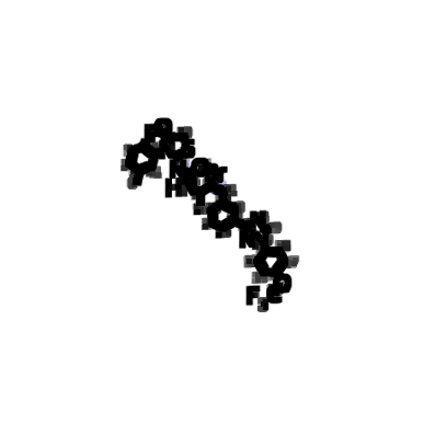 Cc1ccc(C(C)C)c(N2C(=O)CS/C2=N\C(=O)NC(C)/C(Br)=C\c2cccc(-c3ncn(-c4ccc(OC(F)(F)F)cc4)n3)c2)c1